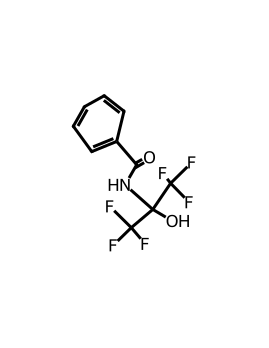 O=C(NC(O)(C(F)(F)F)C(F)(F)F)c1ccccc1